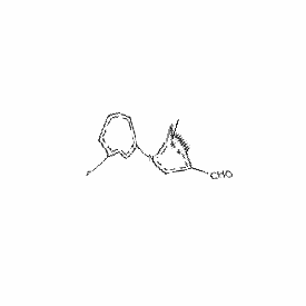 O=Cc1cnn(-c2cccc(F)c2)c1